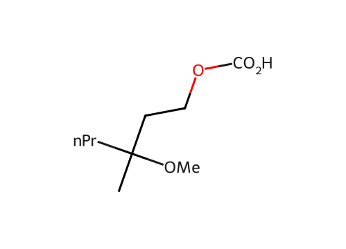 CCCC(C)(CCOC(=O)O)OC